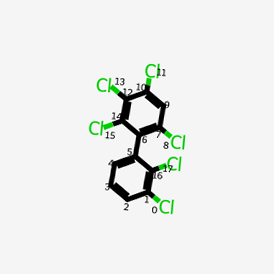 Clc1cccc(-c2c(Cl)cc(Cl)c(Cl)c2Cl)c1Cl